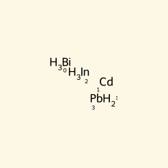 [BiH3].[Cd].[InH3].[PbH2]